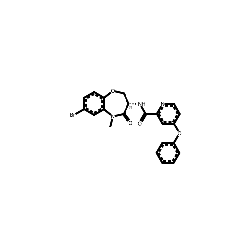 CN1C(=O)[C@@H](NC(=O)c2cc(Oc3ccccc3)ccn2)COc2ccc(Br)cc21